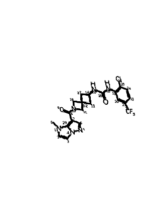 Cn1ccn2ncc(C(=O)N3CC4(CC(NC(=O)Nc5cc(C(F)(F)F)ccc5Cl)C4)C3)c12